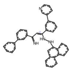 N=C(/C=C(\NNc1cc2ccccc2c2ccccc12)c1cccc(-c2cccnc2)c1)c1cccc(-c2ccccc2)c1